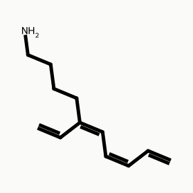 C=C/C=C\C=C(/C=C)CCCCN